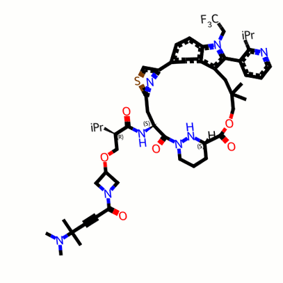 CC(C)c1ncccc1-c1c2c3cc(ccc3n1CC(F)(F)F)-c1csc(n1)C[C@H](NC(=O)[C@@H](COC1CN(C(=O)C#CC(C)(C)N(C)C)C1)C(C)C)C(=O)N1CCC[C@H](N1)C(=O)OCC(C)(C)C2